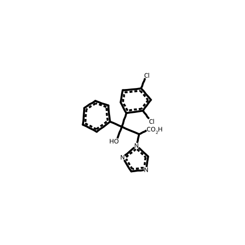 O=C(O)C(n1cncn1)C(O)(c1ccccc1)c1ccc(Cl)cc1Cl